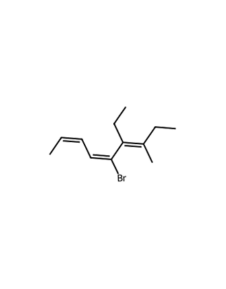 C\C=C/C=C(Br)\C(CC)=C(/C)CC